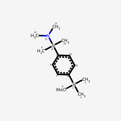 CO[Si](C)(C)c1ccc([Si](C)(C)N(C)C)cc1